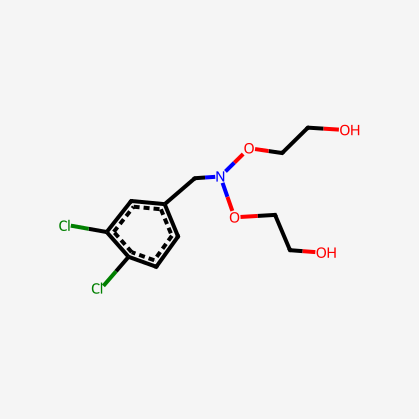 OCCON(Cc1ccc(Cl)c(Cl)c1)OCCO